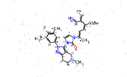 CNC(=C/C=C(\C)n1ccn(-c2c3c(nn2-c2cc(C)c(F)c(C)c2)CCN(C)C3)c1=O)/C(C=N)=C/F